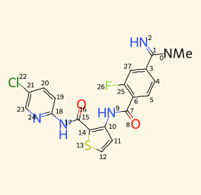 CNC(=N)c1ccc(C(=O)Nc2ccsc2C(=O)Nc2ccc(Cl)cn2)c(F)c1